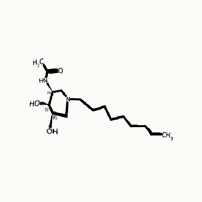 CCCCCCCCCN1C[C@@H](O)[C@@H](O)[C@@H](NC(C)=O)C1